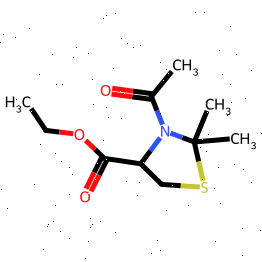 CCOC(=O)C1CSC(C)(C)N1C(C)=O